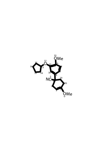 COC1=CCC(C#N)(c2ccc(OC)c(OC3CCCC3)c2)CC1